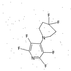 Fc1nc(F)c(F)c(N2CCC(F)(F)CC2)c1F